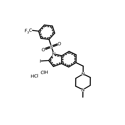 CN1CCN(Cc2ccc3c(c2)cc(I)n3S(=O)(=O)c2cccc(C(F)(F)F)c2)CC1.Cl.Cl